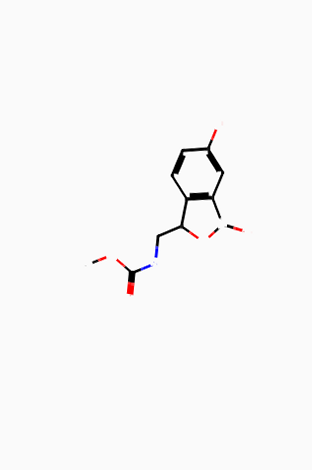 CC(C)(C)OC(=O)NCC1OB(O)c2cc(O)ccc21